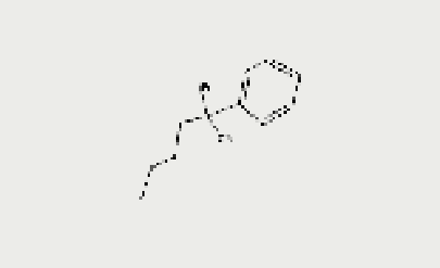 CC(C)C(C#N)(CCCI)c1ccccc1